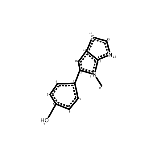 Cn1c(-c2ccc(O)cc2)cc2scnc21